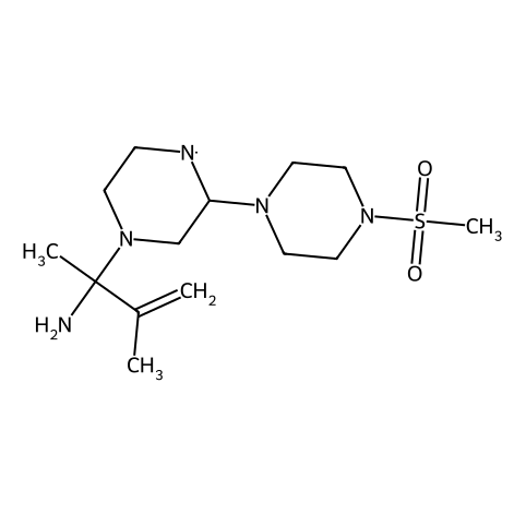 C=C(C)C(C)(N)N1CC[N]C(N2CCN(S(C)(=O)=O)CC2)C1